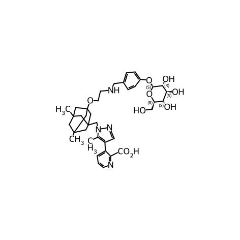 Cc1c(-c2cccnc2C(=O)O)cnn1CC12CC3(C)CC(C)(C1)CC(OCCNCc1ccc(O[C@@H]4O[C@H](CO)[C@@H](O)[C@H](O)[C@H]4O)cc1)(C3)C2